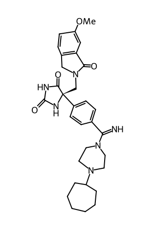 COc1ccc2c(c1)C(=O)N(C[C@@]1(c3ccc(C(=N)N4CCN(C5CCCCCC5)CC4)cc3)NC(=O)NC1=O)C2